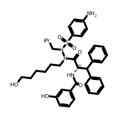 CC(C)CN(N(CCCCCCO)C(=O)[C@@H](NC(=O)c1cccc(O)c1)C(c1ccccc1)c1ccccc1)S(=O)(=O)c1ccc(N)cc1